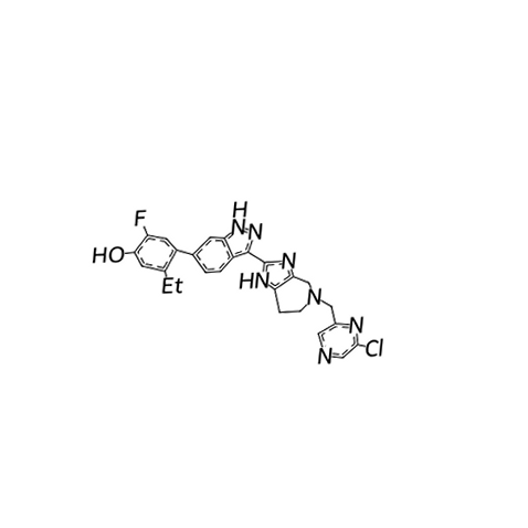 CCc1cc(O)c(F)cc1-c1ccc2c(-c3nc4c([nH]3)CCN(Cc3cncc(Cl)n3)C4)n[nH]c2c1